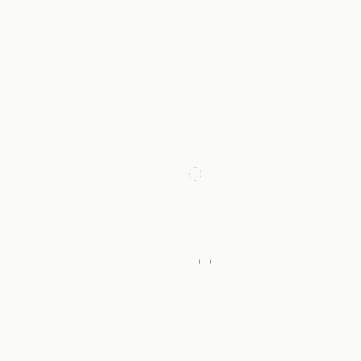 CCC([O])OCC(C)C